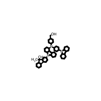 CC1(C)c2ccccc2-c2ccc(-n3c4ccccc4c4c(N(c5ccc(CO)cc5)c5ccc(-n6c7ccccc7c7ccccc76)cc5)cccc43)cc21